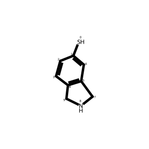 Sc1ccc2c(c1)CNC2